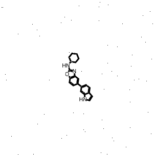 c1cc2ccc(-c3ccc4oc(NC5CCCCC5)nc4c3)cc2[nH]1